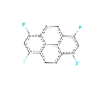 Fc1cc(F)c2ccc3c(F)cc(F)c4ccc1c2c43